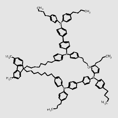 CCCCc1ccc(N(c2ccc(CCCC)cc2)c2ccc(-c3ccc(N(c4ccc(CCCC)cc4)c4ccc(CCCCCCCCC5(CCCCCCCCc6ccc(N(c7ccc(CCCC)cc7)c7ccc(-c8ccc(N(c9ccc(CCCC)cc9)c9ccc(CCCC)cc9)cc8)cc7)cc6)c6ccc(C)cc6-c6cc(C)ccc65)cc4)cc3)cc2)cc1